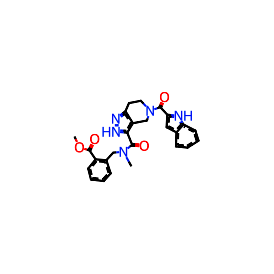 COC(=O)c1ccccc1CN(C)C(=O)c1[nH]nc2c1CN(C(=O)c1cc3ccccc3[nH]1)CC2